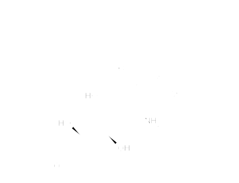 N[C@@H](C(=O)C(=O)c1ccccc1)[C@@H](O)[C@@H](O)[C@H](O)CO